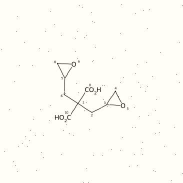 O=C(O)C(CC1CO1)(CC1CO1)C(=O)O